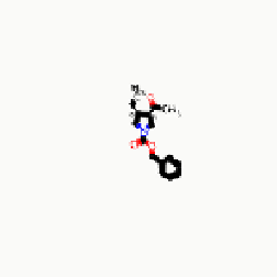 CC[C@@H]1CN(C(=O)OCc2ccccc2)C[C@@H]1C(C)=O